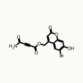 NC(=O)C#CC(=O)OCc1cc(=O)oc2cc(O)c(Br)cc12